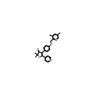 Cc1cnc(COc2ccc(C3=C(c4ccncc4)OC(C)(C)C3=O)cc2)c(C)c1